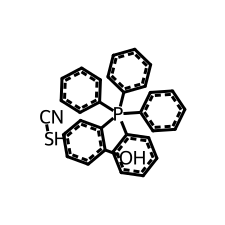 N#CS.Oc1ccccc1P(c1ccccc1)(c1ccccc1)(c1ccccc1)c1ccccc1